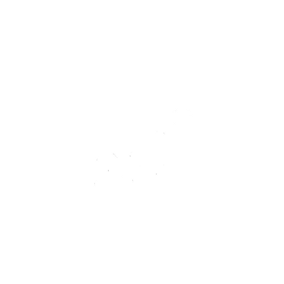 [CH2]C1CCC([CH2])(OOC(=O)c2cccc(C)c2C)C(OOC(=O)c2cccc(C)c2C)C1